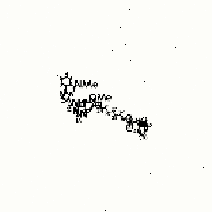 CNCc1ccccc1-c1csc([C@H](C)Nc2nc(C)nc3cc(OCCCCCCCOC(=O)CC45CC6CC(CC(C6)C4)C5)c(OC)cc23)c1